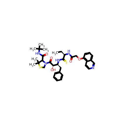 CC[C@@H](NC(=O)COc1cccc2cnccc12)C(=S)N[C@@H](Cc1ccccc1)[C@H](O)C(=O)N1CSC(C)(C)C1C(=O)NC(C)(C)C